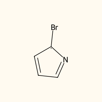 Br[C]1C=CC=N1